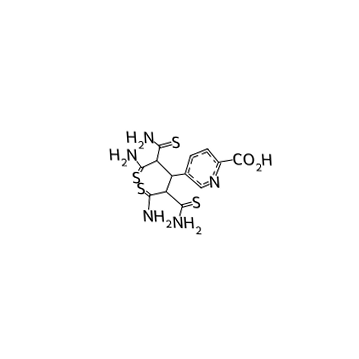 NC(=S)C(C(N)=S)C(c1ccc(C(=O)O)nc1)C(C(N)=S)C(N)=S